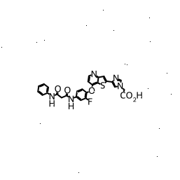 O=C(O)Cn1cnc(-c2cc3nccc(Oc4ccc(NC(=O)CC(=O)Nc5ccccc5)cc4F)c3s2)c1